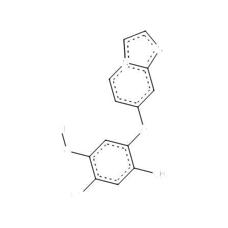 COc1cc(Oc2ccn3ccnc3c2)c(C)cc1C